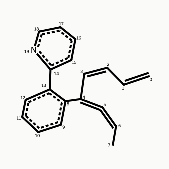 C=C/C=C\C(=C=CC)c1ccccc1-c1ccccn1